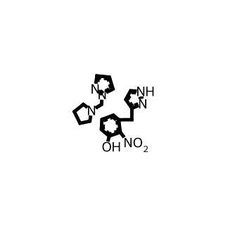 O=[N+]([O-])c1c(O)cccc1Cc1cc[nH]n1.c1cnn(CN2CCCC2)c1